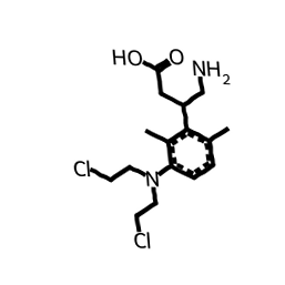 Cc1ccc(N(CCCl)CCCl)c(C)c1C(CN)CC(=O)O